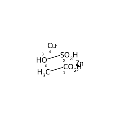 CC(=O)O.O=S(=O)(O)O.[Cu].[Zn]